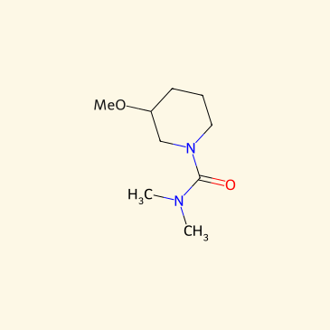 COC1CCCN(C(=O)N(C)C)C1